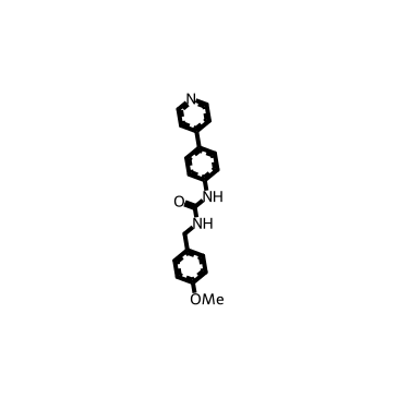 COc1ccc(CNC(=O)Nc2ccc(-c3ccncc3)cc2)cc1